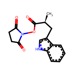 C[C@@H](Cc1c[nH]c2ccccc12)C(=O)ON1C(=O)CCC1=O